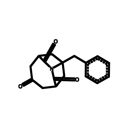 O=C1CC2CCCC(C1)C(=O)N(Cc1ccccc1)C2=O